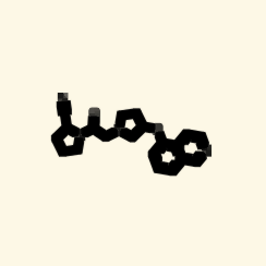 N#CC1CCCN1C(=O)CN1CCC(Oc2cccc3cnccc23)C1